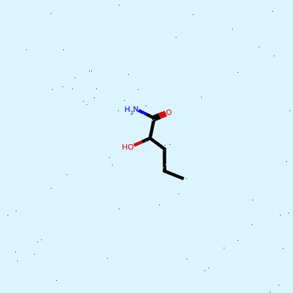 [CH2]CCC(O)C(N)=O